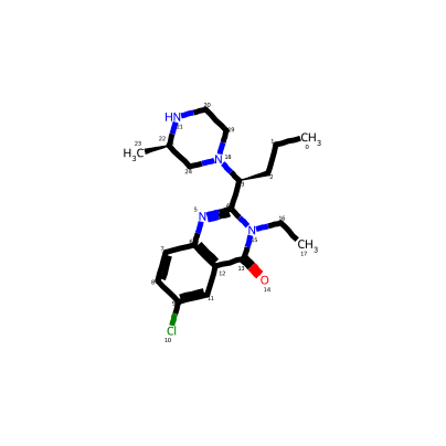 CCC[C@@H](c1nc2ccc(Cl)cc2c(=O)n1CC)N1CCN[C@H](C)C1